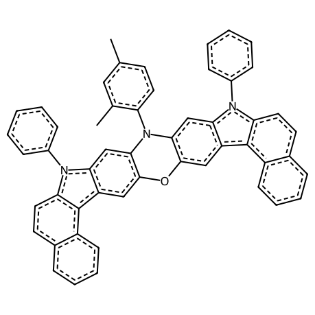 Cc1ccc(N2c3cc4c(cc3Oc3cc5c6c7ccccc7ccc6n(-c6ccccc6)c5cc32)c2c3ccccc3ccc2n4-c2ccccc2)c(C)c1